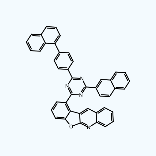 c1ccc2cc(-c3nc(-c4ccc(-c5cccc6ccccc56)cc4)nc(-c4cccc5oc6nc7ccccc7cc6c45)n3)ccc2c1